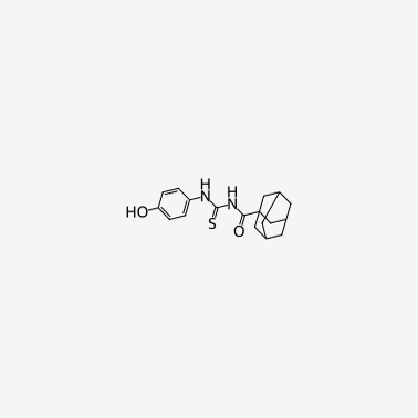 O=C(NC(=S)Nc1ccc(O)cc1)C12CC3CC(CC(C3)C1)C2